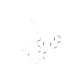 CN(C)CCCCNc1c(F)cc2c(=O)c(C(=O)N3CCC(NC(=O)OC(C)(C)C)C3)cn3c2c1Oc1c-3ccc2ccccc12